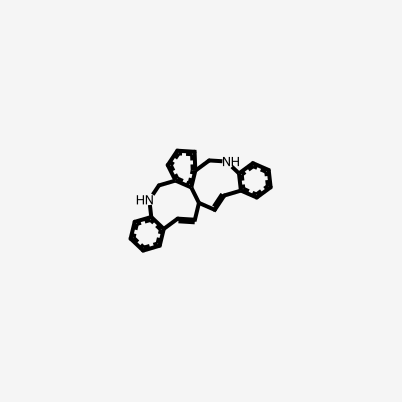 C1=C/C2/C=C/c3ccccc3NCc3cccc(c32)CNc2ccccc2/1